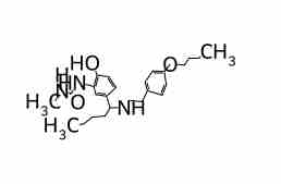 CCCCOc1ccc(CCNC(CCCC)c2ccc(O)c(NC(=O)NC)c2)cc1